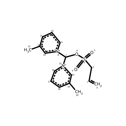 C=CCS(=O)(=O)OC([n+]1cccc(C)c1)[n+]1cccc(C)c1